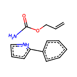 C=CCOC(N)=O.c1ccc(-c2ccc[nH]2)cc1